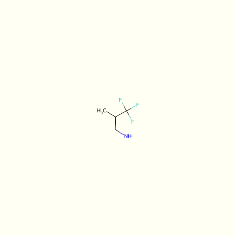 CC(C[NH])C(F)(F)F